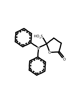 O=C1CCC(N(c2ccccc2)c2ccccc2)(S(=O)(=O)O)O1